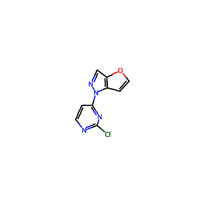 Clc1nccc(-n2ncc3occc32)n1